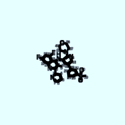 Cc1c(-c2ccccn2)nc2cc(F)cc(F)c2c1Nc1cc(-c2cccc(S(C)(=O)=O)c2)cnc1N1CCOCC1